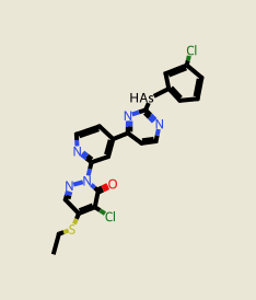 CCSc1cnn(-c2cc(-c3ccnc([AsH]c4cccc(Cl)c4)n3)ccn2)c(=O)c1Cl